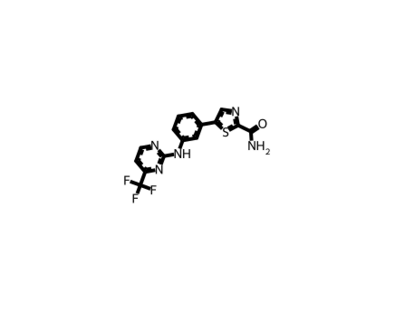 NC(=O)c1ncc(-c2cccc(Nc3nccc(C(F)(F)F)n3)c2)s1